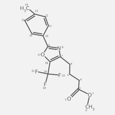 COC(=O)CCCc1nc(-c2ccc(C)cc2)oc1C(F)(F)F